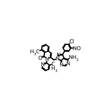 Cc1cccnc1-n1c(Cn2nc(-c3ccc(Cl)c(N=O)c3)c3c(N)ncnc32)cc2cccc(C)c2c1=O